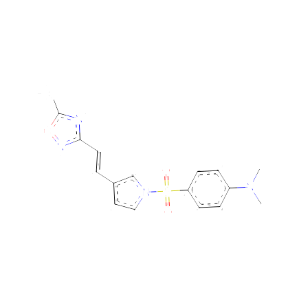 CN(C)c1ccc(S(=O)(=O)n2ccc(C=Cc3noc(C(F)(F)F)n3)c2)cc1